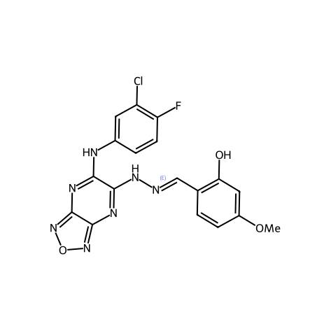 COc1ccc(/C=N/Nc2nc3nonc3nc2Nc2ccc(F)c(Cl)c2)c(O)c1